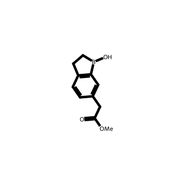 COC(=O)Cc1ccc2c(c1)B(O)CC2